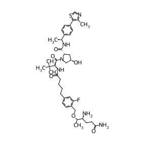 Cc1ncsc1-c1ccc([C@H](C)NC(=O)[C@@H]2C[C@@H](O)CN2C(=O)[C@@H](NC(=O)CCCCc2ccc(CO[C@H](C)[C@@H](N)CCC(N)=O)c(F)c2)C(C)(C)C)cc1